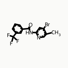 Cc1cnc(NC(=O)c2cccc(C(F)(F)F)c2)cc1Br